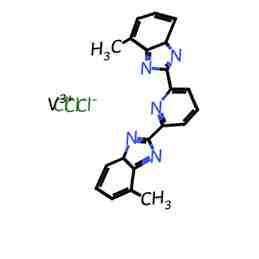 CC1=CC=CC2N=C(c3cccc(C4=NC5C=CC=C(C)C5=N4)n3)N=C12.[Cl-].[Cl-].[Cl-].[V+3]